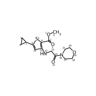 COC(=O)c1sc(C2CC2)cc1NCC(=O)N1CCOCC1